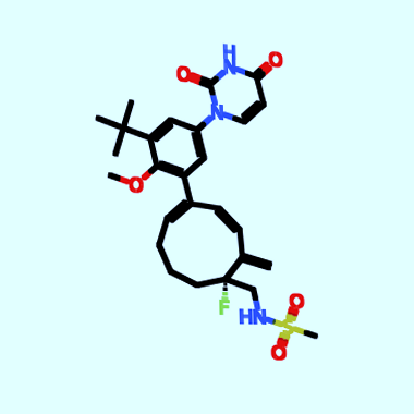 C=C1/C=C\C(c2cc(-n3ccc(=O)[nH]c3=O)cc(C(C)(C)C)c2OC)=C/CCC[C@]1(F)CNS(C)(=O)=O